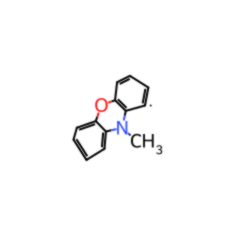 CN1c2[c]cccc2Oc2ccccc21